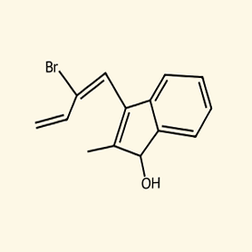 C=C/C(Br)=C\C1=C(C)C(O)c2ccccc21